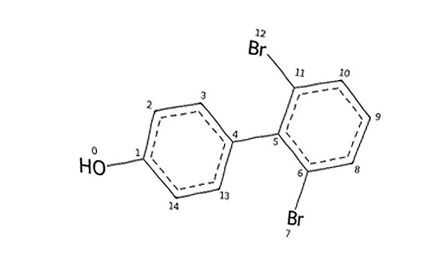 Oc1ccc(-c2c(Br)cccc2Br)cc1